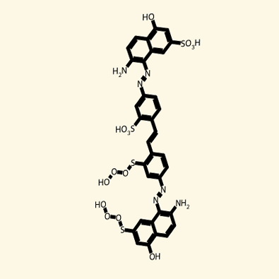 Nc1ccc2c(O)cc(SOOO)cc2c1N=Nc1ccc(C=Cc2ccc(N=Nc3c(N)ccc4c(O)cc(S(=O)(=O)O)cc34)cc2S(=O)(=O)O)c(SOOO)c1